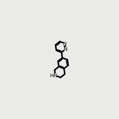 c1cnnc(-c2ccc3c(c2)CNCC3)c1